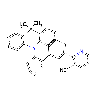 CC1(C)c2ccccc2N(c2ccccc2-c2cccc(-c3ncccc3C#N)c2)c2ccccc21